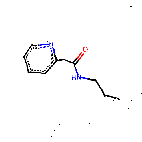 CCCNC(=O)c1ccccn1